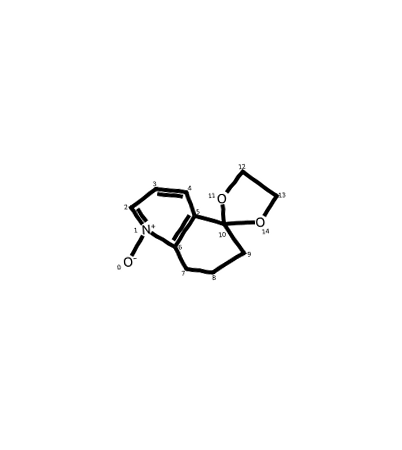 [O-][n+]1cccc2c1CCCC21OCCO1